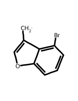 [CH2]c1coc2cccc(Br)c12